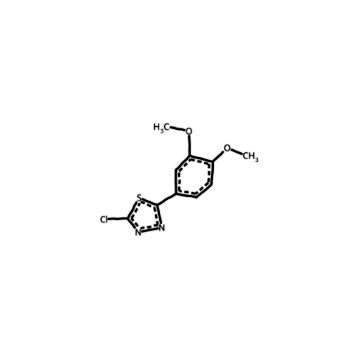 COc1ccc(-c2nnc(Cl)s2)cc1OC